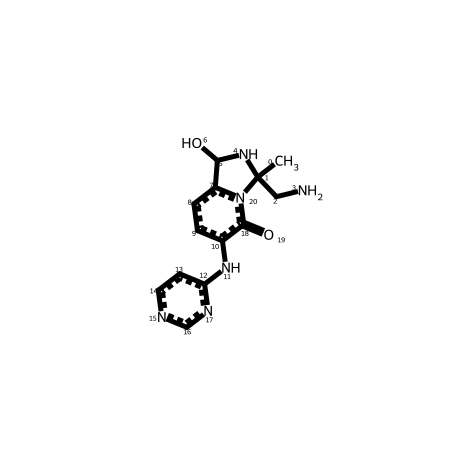 CC1(CN)NC(O)c2ccc(Nc3ccncn3)c(=O)n21